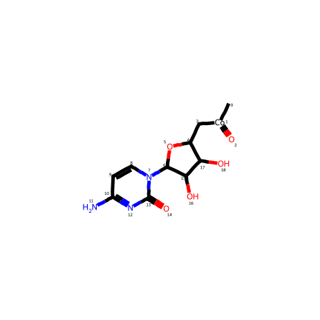 [CH3][Co](=[O])[CH2]C1OC(n2ccc(N)nc2=O)C(O)C1O